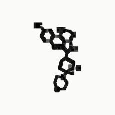 COc1ccc(C#N)cc1C1=c2cc(C3=C[C@H]4CC4(N4CCOCC4)C=C3)[nH]c2=NCN1